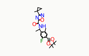 Cc1cc(B2OC(C)(C)C(C)(C)O2)c(F)cc1C(C)NC(=O)c1nc(C2(C)CC2)no1